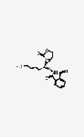 CCCCC[C@@H]1N(NC(=O)c2ccccc2C=O)[C@]12C1CCOC(=O)N12